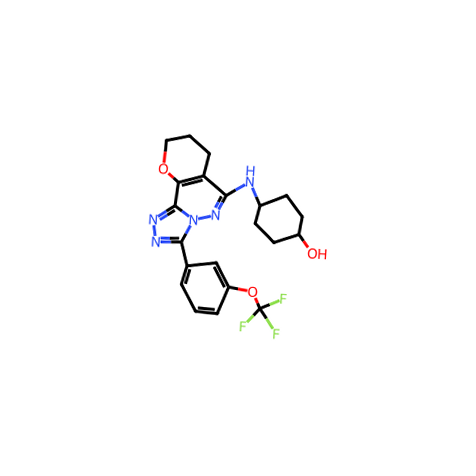 OC1CCC(Nc2nn3c(-c4cccc(OC(F)(F)F)c4)nnc3c3c2CCCO3)CC1